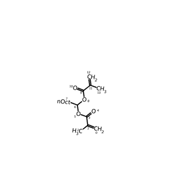 C=C(C)C(=O)OC(CCCCCCCC)OC(=O)C(=C)C